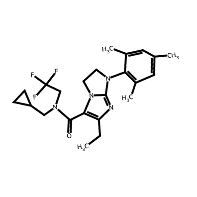 CCc1nc2n(c1C(=O)N(CC1CC1)CC(F)(F)F)CCN2c1c(C)cc(C)cc1C